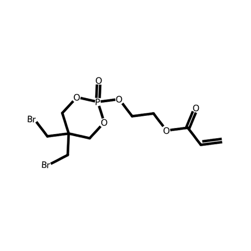 C=CC(=O)OCCOP1(=O)OCC(CBr)(CBr)CO1